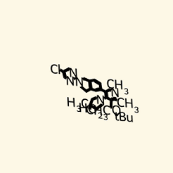 Cc1nc(C)c(C(OC(C)(C)C)C(=O)O)c(N2CCC(C)(C)CC2)c1-c1ccc2c(c1)CCN(c1ncc(Cl)cn1)C2